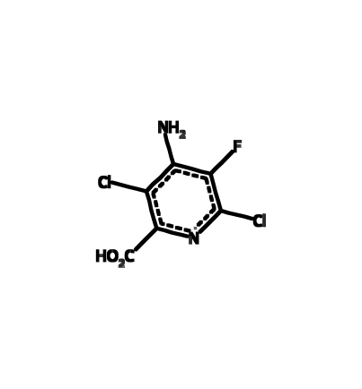 Nc1c(F)c(Cl)nc(C(=O)O)c1Cl